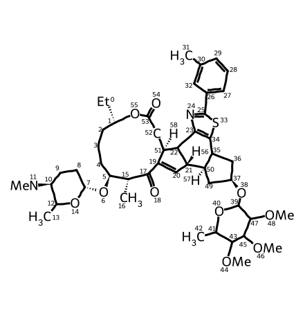 CC[C@H]1CCC[C@H](O[C@H]2CC[C@H](NC)C(C)O2)[C@@H](C)C(=O)C2=C[C@@H]3C(c4nc(-c5cccc(C)c5)sc4C4C[C@@H](OC5OC(C)C(OC)C(OC)C5OC)C[C@H]43)[C@@H]2CC(=O)O1